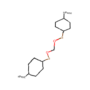 CCCCCC1CCC(SOCOSC2CCC(CCCCC)CC2)CC1